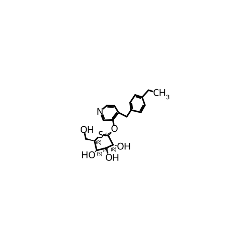 CCc1ccc(Cc2ccncc2O[C@@H]2S[C@H](CO)[C@@H](O)[C@H](O)[C@H]2O)cc1